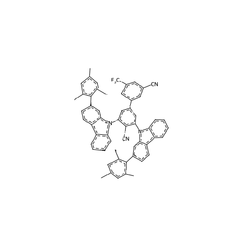 Cc1cc(C)c(-c2ccc3c4ccccc4n(-c4cc(-c5cc(C#N)cc(C(F)(F)F)c5)cc(-n5c6ccccc6c6ccc(-c7c(C)cc(C)cc7C)cc65)c4C#N)c3c2)c(C)c1